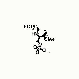 CCOC(=O)CNC(COS(C)(=O)=O)C(=O)OC